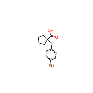 O=C(O)C1(Cc2ccc(S)cc2)CCCC1